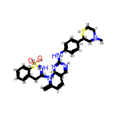 C=C1C=Cc2cnc(Nc3ccc(C4CN(C)CCS4)cc3)nc2N1C1Cc2ccccc2S(=O)(=O)N1